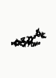 COc1cc(-n2cnn3cc(Br)cc3c2=O)ccc1OCC(O[Si](C)(C)C(C)(C)C)C1CC1